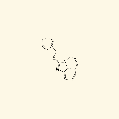 C1=Cc2cccc3nc(SCc4ccccc4)n(c23)C1